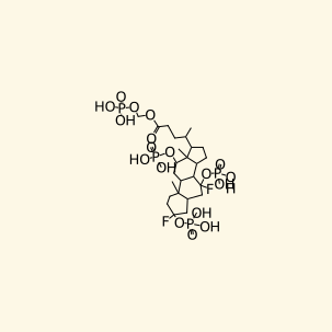 CC(CCC(=O)OCOP(=O)(O)O)C1CCC2C3C(CC(OP(=O)(O)O)C12C)C1(C)CCC(F)(OP(=O)(O)O)CC1CC3(F)OP(=O)(O)O